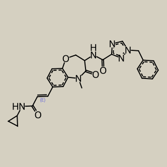 CN1C(=O)C(NC(=O)c2ncn(Cc3ccccc3)n2)COc2ccc(/C=C/C(=O)NC3CC3)cc21